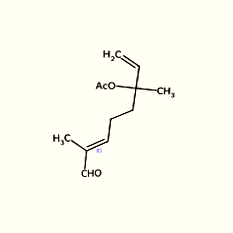 C=CC(C)(CC/C=C(\C)C=O)OC(C)=O